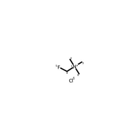 C[N+](C)(C)CF.[Cl-]